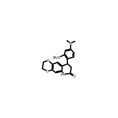 CC(C)COc1cc(N(C)C)ccc1C1CC(=O)Nc2cc3c(cc21)OCCO3